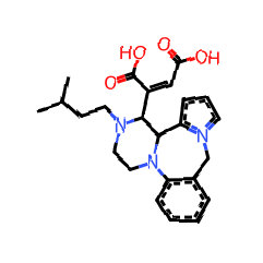 CC(C)CCN1CCN2c3ccccc3Cn3cccc3C2C1C(=CC(=O)O)C(=O)O